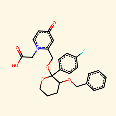 O=C(O)Cn1ccc(=O)cc1COC1(c2ccc(F)cc2)OCCCC1OCc1ccccc1